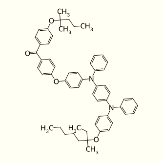 CCCCCC(C)(CC)Oc1ccc(N(c2ccccc2)c2ccc(N(c3ccccc3)c3ccc(Oc4ccc(C(=O)c5ccc(OC(C)(C)CCC)cc5)cc4)cc3)cc2)cc1